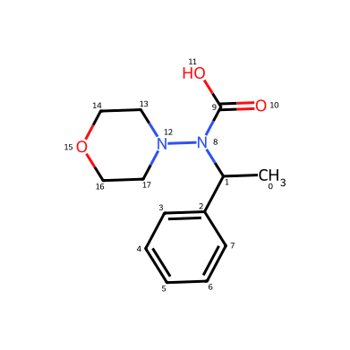 CC(c1ccccc1)N(C(=O)O)N1CCOCC1